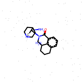 N[C@]12CCCc3cccc(c31)C(=O)N([C@]1(N)CN3CCC1CC3)C2